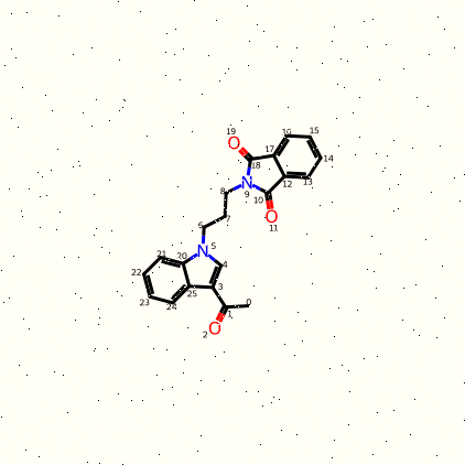 CC(=O)c1cn(CCCN2C(=O)c3ccccc3C2=O)c2ccccc12